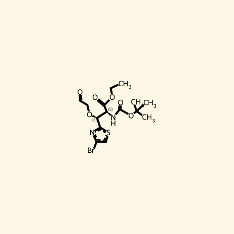 CCOC(=O)[C@@H](NC(=O)OC(C)(C)C)[C@H](OCC=O)c1nc(Br)cs1